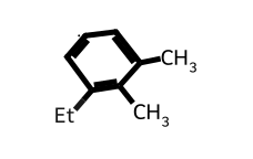 CCc1c[c]cc(C)c1C